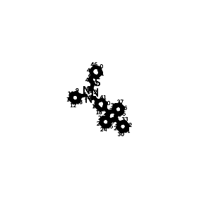 C1=Cc2sc(-c3nc(-c4ccccc4)nc(C4C=CC(c5c6ccccc6c(-c6ccccc6)c6ccccc56)=CC4)n3)cc2CC1